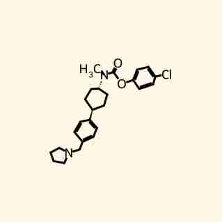 CN(C(=O)Oc1ccc(Cl)cc1)[C@H]1CC[C@H](c2ccc(CN3CCCC3)cc2)CC1